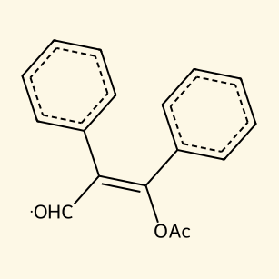 CC(=O)OC(=C([C]=O)c1ccccc1)c1ccccc1